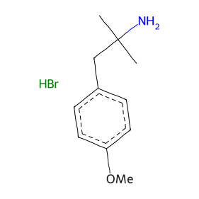 Br.COc1ccc(CC(C)(C)N)cc1